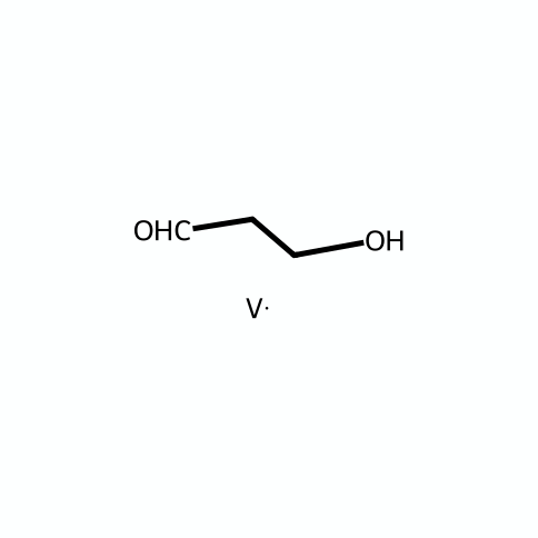 O=CCCO.[V]